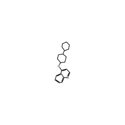 c1ccc2c(OC3CCC(C4CCCCC4)CC3)ccnc2c1